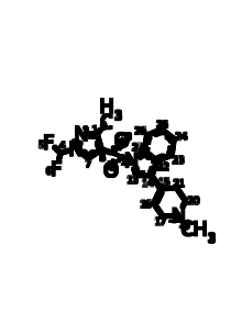 Cc1nn(C(F)F)cc1S(=O)(=O)n1cc(C2=CCN(C)CC2)c2ccccc21